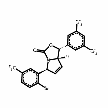 O=C1O[C@H](c2cc(C(F)(F)F)cc(C(F)(F)F)c2)[C@@H]2C=C[C@@H](c3cc(C(F)(F)F)ccc3Br)N12